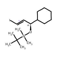 CC(C)(C)[Si](C)(C)O[C@@H](/C=C/I)C1CCCCC1